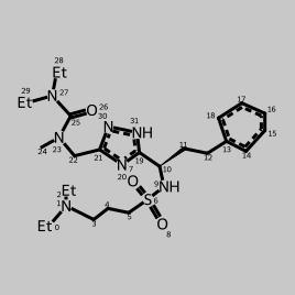 CCN(CC)CCCS(=O)(=O)N[C@H](CCc1ccccc1)c1nc(CN(C)C(=O)N(CC)CC)n[nH]1